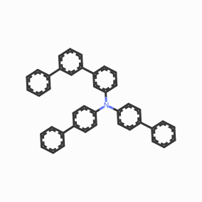 c1ccc(-c2ccc(N(c3ccc(-c4ccccc4)cc3)c3cccc(-c4cccc(-c5ccccc5)c4)c3)cc2)cc1